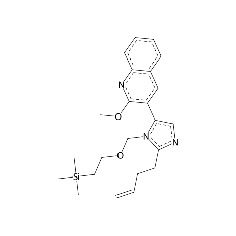 C=CCCc1ncc(-c2cc3ccccc3nc2OC)n1COCC[Si](C)(C)C